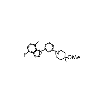 COC1(C)CCN(c2cccc(-n3ccc4c(F)ccc(C)c43)c2)CC1